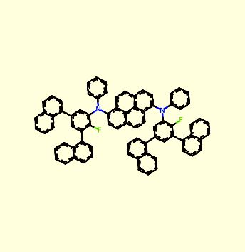 Fc1c(-c2cccc3ccccc23)cc(-c2cccc3ccccc23)cc1N(c1ccccc1)c1ccc2ccc3c(N(c4ccccc4)c4cc(-c5cccc6ccccc56)cc(-c5cccc6ccccc56)c4F)ccc4ccc1c2c43